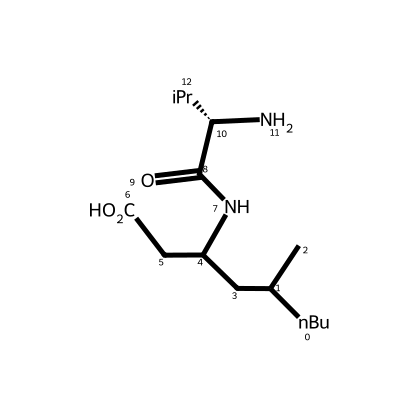 CCCCC(C)CC(CC(=O)O)NC(=O)[C@@H](N)C(C)C